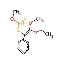 CCOC(OC)=C(S[PH](=S)OC)c1ccccc1